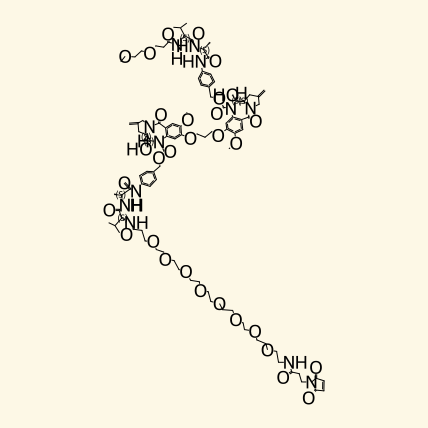 C=C1C[C@H]2[C@H](O)N(C(=O)OCc3ccc(NC(=O)[C@H](C)NC(=O)[C@@H](NC(=O)CCOCCOC)C(C)C)cc3)c3cc(OCCCOc4cc5c(cc4OC)C(=O)N4CC(=C)C[C@H]4[C@H](O)N5C(=O)OCc4ccc(NC(=O)[C@H](C)NC(=O)[C@@H](NC(=O)CCOCCOCCOCCOCCOCCOCCOCCOCCNC(=O)CCN5C(=O)C=CC5=O)C(C)C)cc4)c(OC)cc3C(=O)N2C1